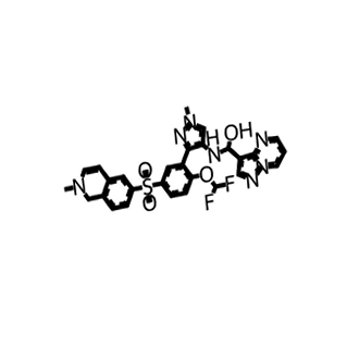 CN1C=Cc2cc(S(=O)(=O)c3ccc(OC(F)F)c(-c4nn(C)cc4NC(O)c4cnn5cccnc45)c3)ccc2C1